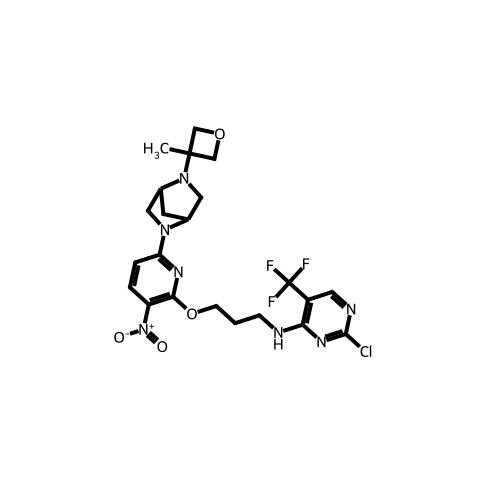 CC1(N2CC3CC2CN3c2ccc([N+](=O)[O-])c(OCCCNc3nc(Cl)ncc3C(F)(F)F)n2)COC1